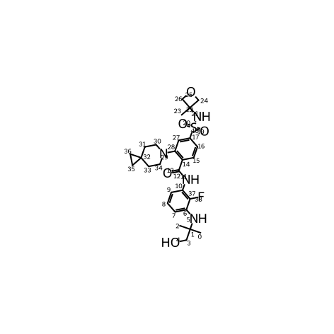 CC(C)(CO)Nc1cccc(NC(=O)c2ccc(S(=O)(=O)NC3(C)COC3)cc2N2CCC3(CC2)CC3)c1F